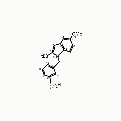 COc1ccc2c(c1)cc(C(C)(C)C)n2Cc1cccc(C(=O)O)c1